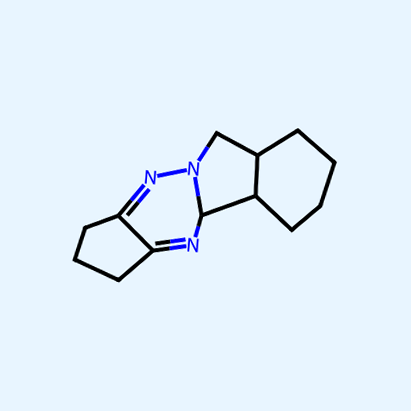 C1CC2=NC3C4CCCCC4CN3N=C2C1